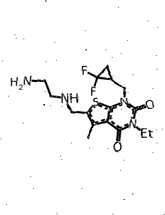 CCn1c(=O)c2c(C)c(CNCCN)sc2n(CC2CC2(F)F)c1=O